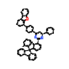 Cc1ccccc1C1(c2cccc(-c3nc(-c4ccccc4)cc(-c4ccc(-c5cccc6c5oc5ccccc56)cc4)n3)c2C)c2ccccc2-c2ccccc21